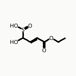 CCOC(=O)C=CC(O)S(=O)O